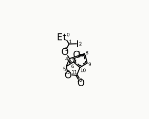 CCC(I)Oc1c2c3oc1cc3C(=O)O2